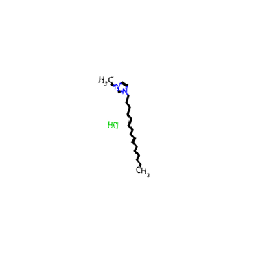 CCCCCCCCCCCCCCCCN1C=CN(CC)C1.Cl